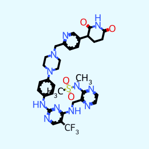 CN(c1nccnc1CNc1nc(Nc2ccc(N3CCN(Cc4ccc(C5CCC(=O)NC5=O)cn4)CC3)cc2)ncc1C(F)(F)F)S(C)(=O)=O